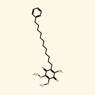 COC1=C(OC)C(=O)C(CCCCCCCCCCCCc2ccccc2)=C(C)C1=O